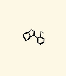 N#Cc1ccccc1-c1coc2ccccc12